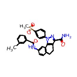 Cc1cccc(C(=O)Nc2ccc3c(c2)-c2c(c(C(N)=O)nn2-c2ccc(S(C)(=O)=O)cc2)CC3)c1